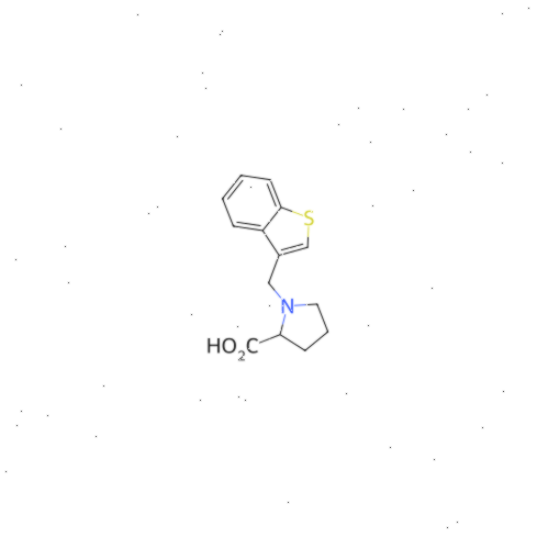 O=C(O)C1CCCN1Cc1csc2ccccc12